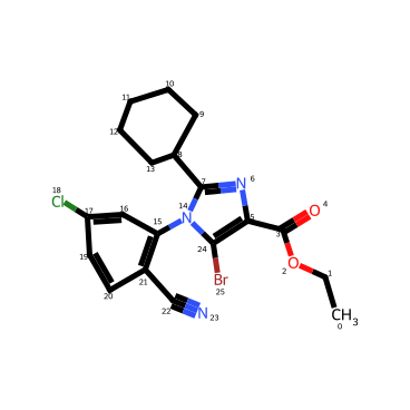 CCOC(=O)c1nc(C2CCCCC2)n(-c2cc(Cl)ccc2C#N)c1Br